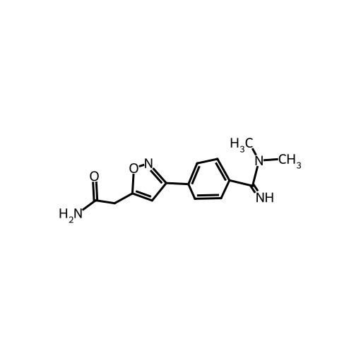 CN(C)C(=N)c1ccc(-c2cc(CC(N)=O)on2)cc1